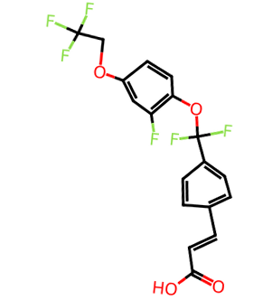 O=C(O)/C=C/c1ccc(C(F)(F)Oc2ccc(OCC(F)(F)F)cc2F)cc1